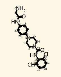 NCC(=O)Nc1ccc(N2CCN(C(=O)Nc3c(Cl)cccc3Cl)CC2)cc1